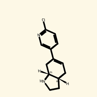 Clc1ccc(C2=CC[C@@H]3CCN[C@@H]3C2)cn1